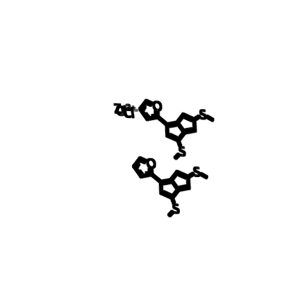 CSC1=CC2=C(c3ccco3)C=C(SC)C2=C1.CSC1=CC2=C(c3ccco3)C=C(SC)C2=C1.[Cl-].[Cl-].[Zr+2]